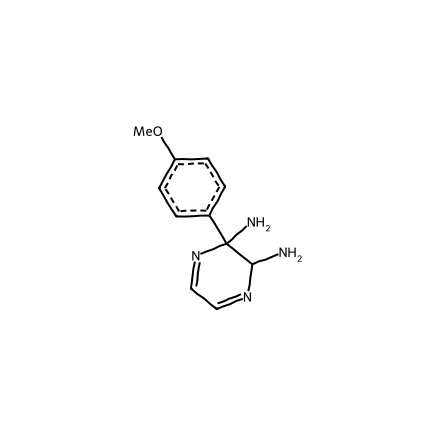 COc1ccc(C2(N)N=CC=NC2N)cc1